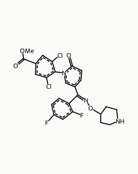 COC(=O)c1cc(Cl)c(-n2cc(C(=NOC3CCNCC3)c3ccc(F)cc3F)ccc2=O)c(Cl)c1